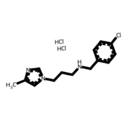 Cc1cn(CCCNCc2ccc(Cl)cc2)cn1.Cl.Cl